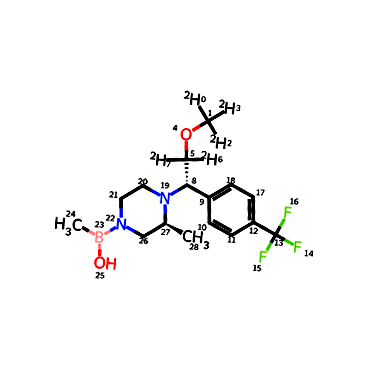 [2H]C([2H])([2H])OC([2H])([2H])[C@H](c1ccc(C(F)(F)F)cc1)N1CCN(B(C)O)C[C@@H]1C